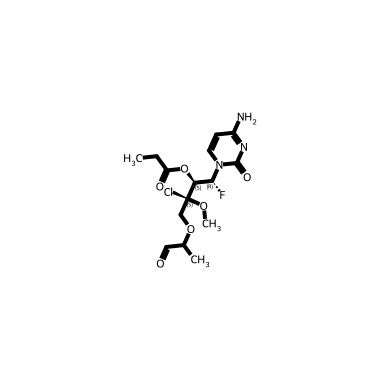 CCC(=O)O[C@@H]([C@@H](F)n1ccc(N)nc1=O)[C@@](Cl)(COC(C)C=O)OC